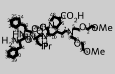 COCCOCCN(CCCCC(NC(=O)C(CC(C)C)NC(=O)C(Cc1ccccc1)NC(=O)C(N)Cc1ccccc1)C(=O)N1CCC(C(=O)O)CC1)CCOCCOC